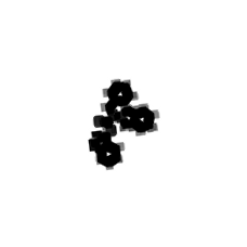 O=C(On1nnc2ccccc21)N(Cc1ccccc1)N1Cc2ccccc2C1